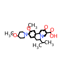 COc1cc2c(cc1N1CCC(OC)CC1)CC(C(C)C)n1cc(C(=O)O)c(=O)cc1-2